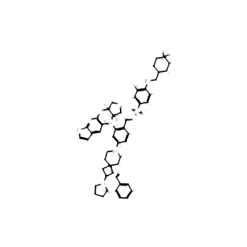 C=Cc1ccccc1[C@@H]1CCCN1C1CC2(CCN(c3ccc(C(=O)NS(=O)(=O)c4ccc(NCC5CCC(C)(O)CC5)c([N+](=O)[O-])c4)c(N4c5cc6cc[nH]c6nc5O[C@@H]5COC[C@@H]54)c3)CC2)C1